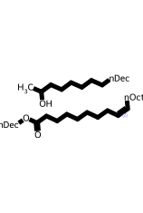 CCCCCCCC/C=C\CCCCCCCC(=O)OCCCCCCCCCC.CCCCCCCCCCCCCCCCC(C)O